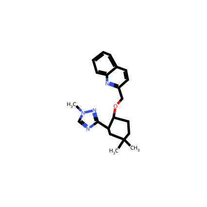 Cn1cnc(C2CC(C)(C)CCC2OCc2ccc3ccccc3n2)n1